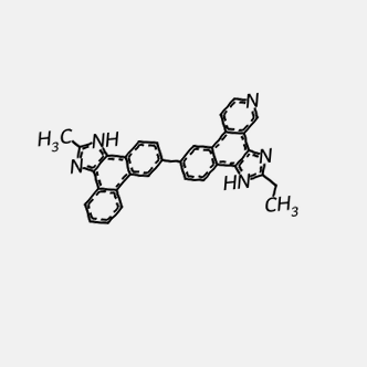 CCc1nc2c3cnccc3c3cc(-c4ccc5c(c4)c4ccccc4c4nc(C)[nH]c54)ccc3c2[nH]1